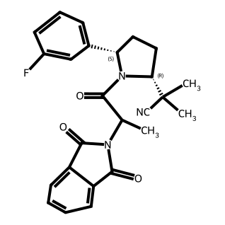 CC(C(=O)N1[C@H](c2cccc(F)c2)CC[C@@H]1C(C)(C)C#N)N1C(=O)c2ccccc2C1=O